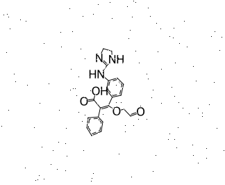 O=CCOC(=C(C(=O)O)c1ccccc1)c1cccc(NC2=NCCN2)c1